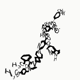 COc1ccc(CN2CCN(C3CC4(CCN(c5cc(Oc6cnc7[nH]ccc7c6)c(C(=O)NS(=O)(=O)c6cc([N+](=O)[O-])c(NC[C@H]7CC[C@](C)(O)CC7)c7scnc67)cn5)CC4)C3)[C@H](c3ccccc3C(C)C)C2)cc1